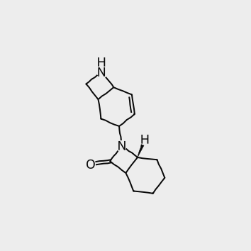 O=C1C2CCCC[C@H]2N1C1C=CC2NCC2C1